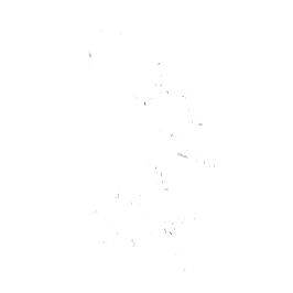 Cc1cccc(C)c1CN1CCN(C(=O)C=Cc2ccccc2[N+](=O)[O-])CC1